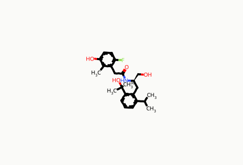 Cc1c(O)ccc(F)c1CC(=O)N[C@@H](CO)Cc1c(C(C)C)cccc1C(C)(C)O